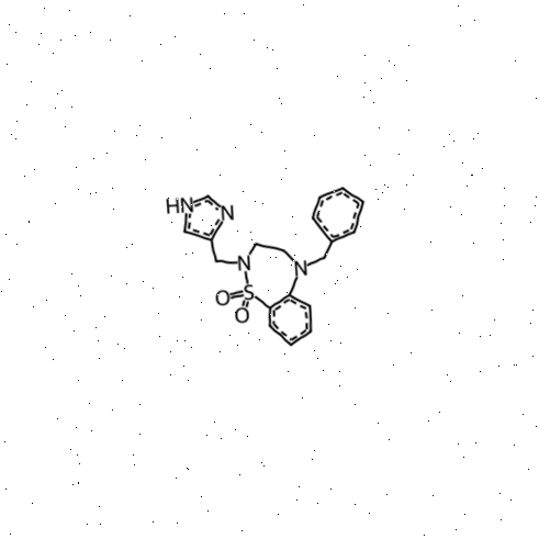 O=S1(=O)c2ccccc2N(Cc2ccccc2)CCN1Cc1c[nH]cn1